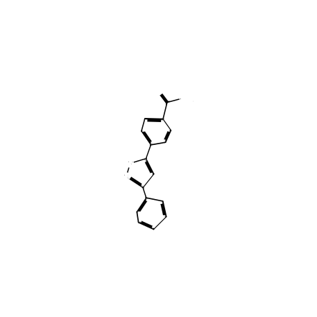 CC(=O)c1ccc(-c2cc(-c3ccccc3)n[nH]2)cc1